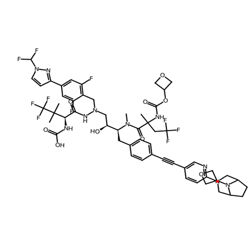 CN(C(=O)C(C)(CC(F)(F)F)NC(=O)OC1COC1)[C@@H](Cc1ccc(C#Cc2ccc(N3CC4CCC(C3)N4C3COC3)nc2)cc1)[C@@H](O)CN(Cc1c(F)cc(-c2ccn(C(F)F)n2)cc1F)NC(=O)[C@@H](NC(=O)O)C(C)(C)C(F)(F)F